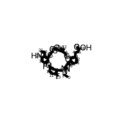 CCn1nc2nc1-c1cc(ccc1F)Oc1c(F)cc3[nH]ccc3c1CCS(=O)(=O)CC(C)(C)CCCC2(C)c1cccc(CCC(=O)O)c1